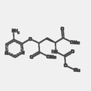 COC(=O)C(C[C@H](NC(=O)OC(C)(C)C)C(=O)OC)Oc1ncncc1N